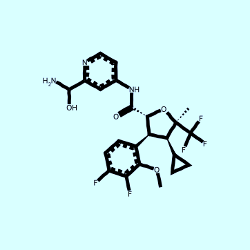 COc1c([C@H]2[C@H](C(=O)Nc3ccnc(C(N)O)c3)O[C@@](C)(C(F)(F)F)[C@H]2C2CC2)ccc(F)c1F